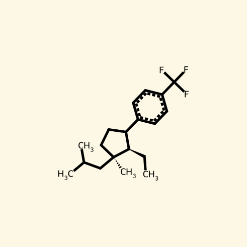 CC[C@@H]1C(c2ccc(C(F)(F)F)cc2)CC[C@]1(C)CC(C)C